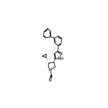 N#CN1C[C@H](c2cc(-c3cccc(-c4ccccc4)c3)n[nH]2)[C@@H](C2CC2)C1